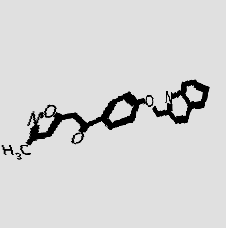 Cc1cc(CC(=O)c2ccc(OCc3ccc4ccccc4n3)cc2)on1